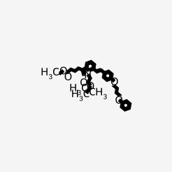 CCOC(=O)CCCc1cn(CC(=O)OC(C)(C)C)c2c(C=Cc3ccc(OCCCCOc4ccccc4)cc3)cccc12